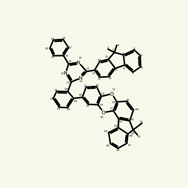 CC1(C)c2ccccc2-c2ccc(-c3nc(-c4ccccc4)nc(-c4ccccc4-c4ccc5c(c4)Oc4c(ccc6c4-c4ccccc4C6(C)C)O5)n3)cc21